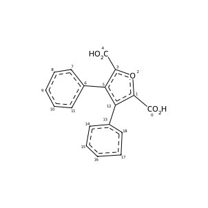 O=C(O)c1oc(C(=O)O)c(-c2ccccc2)c1-c1ccccc1